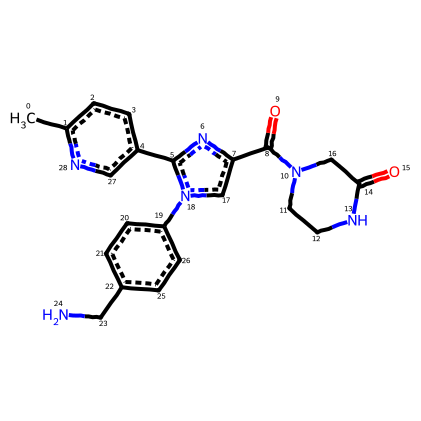 Cc1ccc(-c2nc(C(=O)N3CCNC(=O)C3)cn2-c2ccc(CN)cc2)cn1